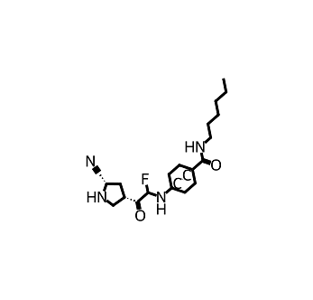 CCCCCCNC(=O)C12CCC(NC(F)C(=O)[C@@H]3CN[C@H](C#N)C3)(CC1)CC2